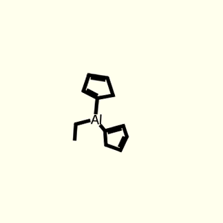 C[CH2][Al]([C]1=CC=CC1)[C]1=CC=CC1